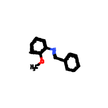 COc1[c]cccc1N=Cc1ccccc1